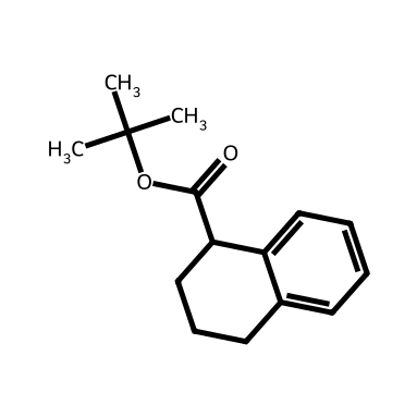 CC(C)(C)OC(=O)[C]1CCCc2ccccc21